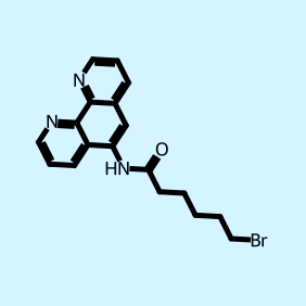 O=C(CCCCCBr)Nc1cc2cccnc2c2ncccc12